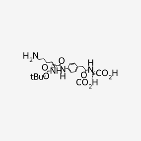 CC(C)(C)OC(=O)N[C@@H](CCCCN)C(=O)Nc1ccc(CC(=O)N[C@@H](CC(=O)O)C(=O)O)cc1